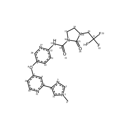 Cn1cnc(-c2cc(Oc3ccc(NC(=O)N4CCN(CC(F)(F)F)C4=O)nc3)ccn2)c1